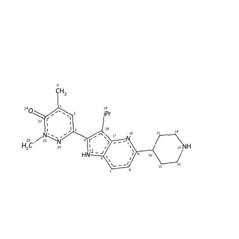 Cc1cc(-c2[nH]c3ccc(C4CCNCC4)nc3c2C(C)C)nn(C)c1=O